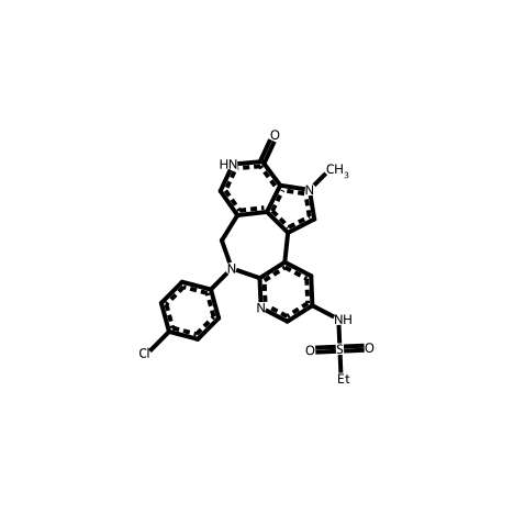 CCS(=O)(=O)Nc1cnc2c(c1)-c1cn(C)c3c(=O)[nH]cc(c13)CN2c1ccc(Cl)cc1